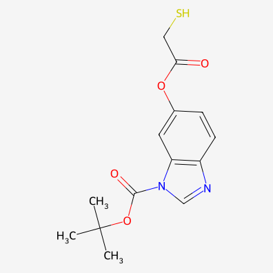 CC(C)(C)OC(=O)n1cnc2ccc(OC(=O)CS)cc21